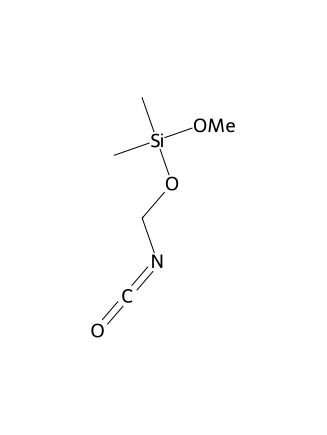 CO[Si](C)(C)OCN=C=O